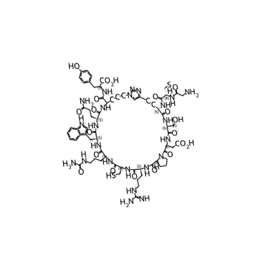 C[C@@H](O)[C@@H]1NC(=O)[C@@H](NC(=O)[C@H](CS)NC(=O)CN)CCc2cn(nn2)CCCC(C(=O)N[C@@H](Cc2ccc(O)cc2)C(=O)O)NC(=O)[C@H](CCC(N)=O)NC(=O)[C@H](Cc2c[nH]c3ccccc23)NC(=O)[C@H](CCCNC(N)=O)NC(=O)[C@H](CS)NC(=O)[C@H](CCCNC(=N)N)NC(=O)[C@@H]2CCCN2C(=O)[C@H](CC(=O)O)NC1=O